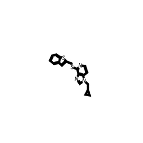 c1ccc2sc(CSc3nccc4c3ncn4CC3CC3)cc2c1